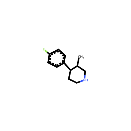 CC1CNCCC1c1ccc(F)cc1